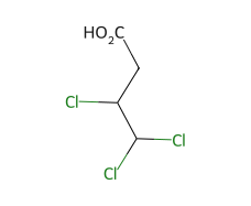 O=C(O)CC(Cl)C(Cl)Cl